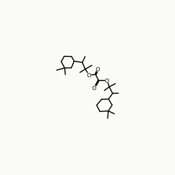 CC(C1CCCC(C)(C)C1)C(C)(C)OC(=O)C(=O)OC(C)(C)C(C)C1CCCC(C)(C)C1